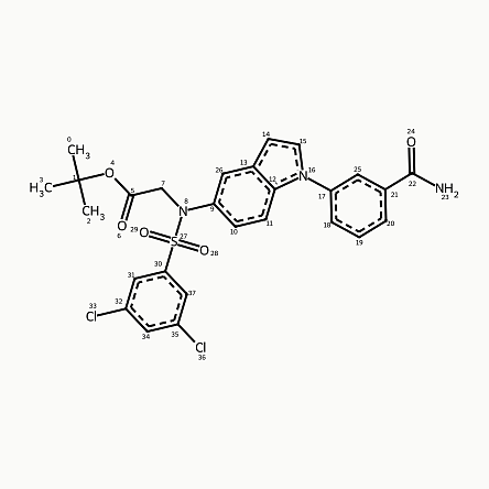 CC(C)(C)OC(=O)CN(c1ccc2c(ccn2-c2cccc(C(N)=O)c2)c1)S(=O)(=O)c1cc(Cl)cc(Cl)c1